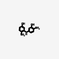 Nc1ccc(Nc2cc(O)ccc2N)cc1O